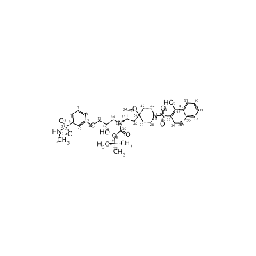 CNS(=O)(=O)c1cccc(OC[C@@H](O)CN(C(=O)OC(C)(C)C)[C@H]2COC3(CCN(S(=O)(=O)c4cnc5ccccc5c4O)CC3)C2)c1